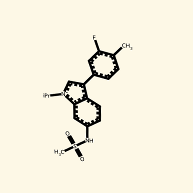 Cc1ccc(-c2cn(C(C)C)c3cc(NS(C)(=O)=O)ccc23)cc1F